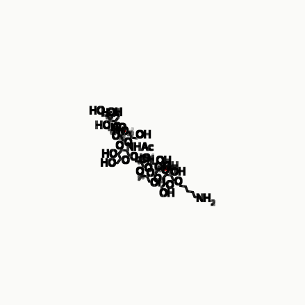 CC(=O)NC1C(OC[C@H](O)C(OC(CO)[C@@H](C)O)O[C@H](C)C(CO)OC(OC2C(CO)OC(OCCCCCN)C(O)C2O)[C@@H](O)CO)OC(CO)C(O)C1OC(OC(CO)[C@@H](C)O)[C@H](CO)O[C@@H](C)OC(CN)C(O)[C@H](O)CO